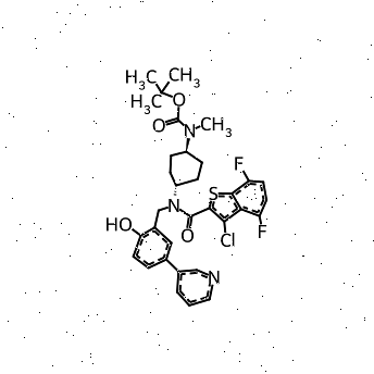 CN(C(=O)OC(C)(C)C)[C@H]1CC[C@H](N(Cc2cc(-c3cccnc3)ccc2O)C(=O)c2sc3c(F)ccc(F)c3c2Cl)CC1